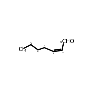 O=C/C=C\CCCCl